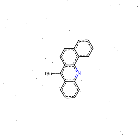 CC(C)(C)c1c2ccccc2nc2c1ccc1ccccc12